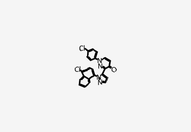 O=c1ccn(-c2ccc(Cl)cc2)nc1-c1ccnn1-c1ccc(Cl)c2ccccc12